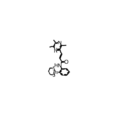 Cc1nc(C)c(/C=C/C(=O)Nc2ccccc2[As]2SCCCS2)nc1C